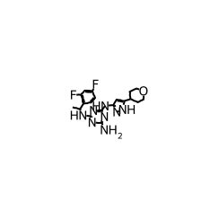 CC(Nc1nc(N)nc(Nc2cc(C3CCOCC3)[nH]n2)n1)c1ccc(F)cc1F